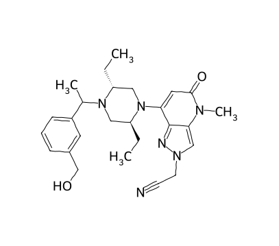 CC[C@H]1CN(C(C)c2cccc(CO)c2)[C@H](CC)CN1c1cc(=O)n(C)c2cn(CC#N)nc12